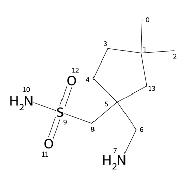 CC1(C)CCC(CN)(CS(N)(=O)=O)C1